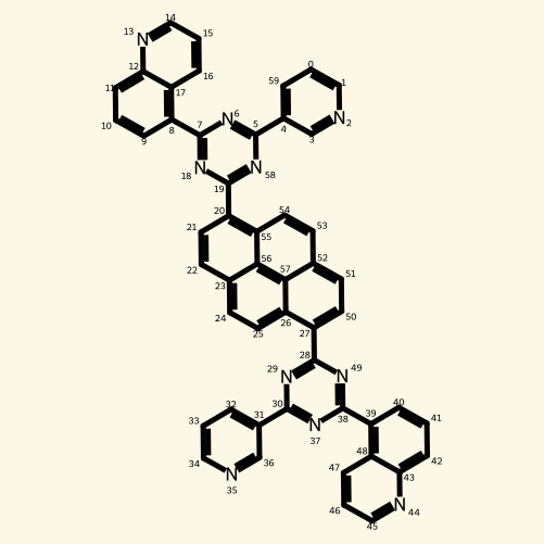 c1cncc(-c2nc(-c3cccc4ncccc34)nc(-c3ccc4ccc5c(-c6nc(-c7cccnc7)nc(-c7cccc8ncccc78)n6)ccc6ccc3c4c65)n2)c1